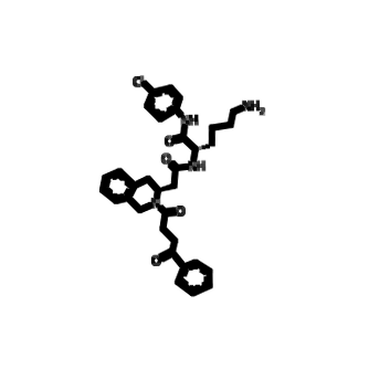 NCCCC[C@H](NC(=O)C[C@@H]1Cc2ccccc2CN1C(=O)CCC(=O)c1ccccc1)C(=O)Nc1ccc(Cl)cc1